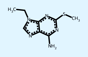 CCn1cnc2c(N)nc(SC)nc21